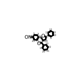 O=Nc1ccc([C@@H]2O[C@H](c3ccccc3)C[C@@H]2C(=O)c2ccccc2)cc1